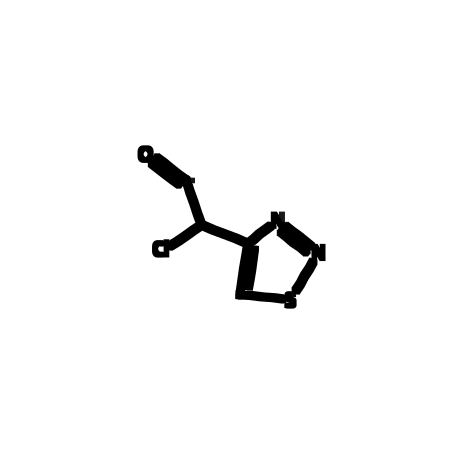 O=[C]C(Cl)c1csnn1